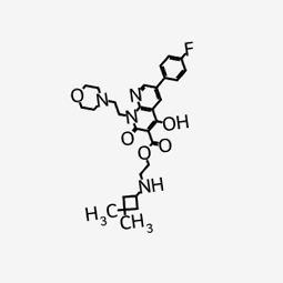 CC1(C)CC(NCCOC(=O)c2c(O)c3cc(-c4ccc(F)cc4)cnc3n(CCN3CCOCC3)c2=O)C1